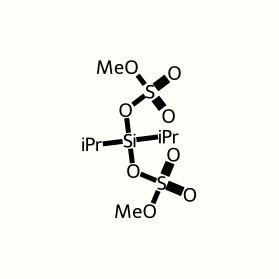 COS(=O)(=O)O[Si](OS(=O)(=O)OC)(C(C)C)C(C)C